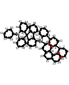 c1ccc(-c2ccc(-c3ccccc3N(c3ccc4c(ccc5ccccc54)c3)c3cccc4c3-c3ccccc3C43c4ccccc4N(c4ccccc4)c4ccccc43)cc2)cc1